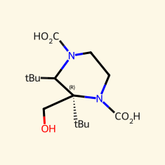 CC(C)(C)C1N(C(=O)O)CCN(C(=O)O)[C@]1(CO)C(C)(C)C